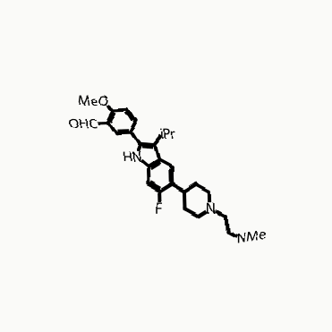 CNCCN1CCC(c2cc3c(C(C)C)c(-c4ccc(OC)c(C=O)c4)[nH]c3cc2F)CC1